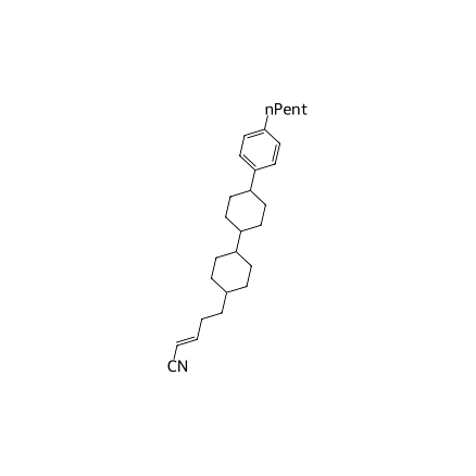 CCCCCc1ccc(C2CCC(C3CCC(CCC=CC#N)CC3)CC2)cc1